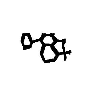 FC(F)(F)c1cccc2c(-c3ccccc3)nnc(Cl)c12